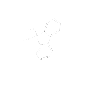 CCCCCCCCC1(CCCCCCCC)c2ccccc2-c2ccccc21